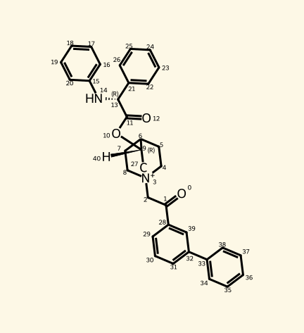 O=C(C[N+]12CCC(CC1)[C@@H](OC(=O)[C@H](Nc1ccccc1)c1ccccc1)C2)c1cccc(-c2ccccc2)c1